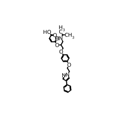 CC(C)NCC(COc1ccc(OCCn2cc(-c3ccccc3)cn2)cc1)OC(=O)/C=C\C(=O)O